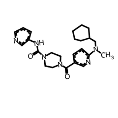 CN(CC1CCCCC1)c1ccc(C(=O)N2CCN(C(=O)Nc3cccnc3)CC2)cn1